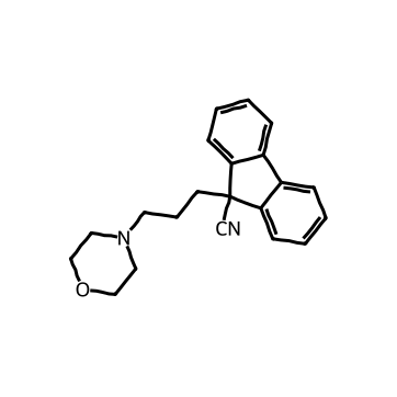 N#CC1(CCCN2CCOCC2)c2ccccc2-c2ccccc21